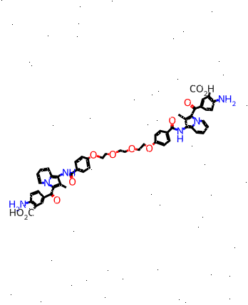 Cc1c(NC(=O)c2ccc(OCCOCCOCCOc3ccc(C(=O)Nc4c(C)c(C(=O)c5ccc(N)c(C(=O)O)c5)n5ccccc45)cc3)cc2)c2ccccn2c1C(=O)c1ccc(N)c(C(=O)O)c1